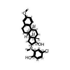 COc1ccc2c(c1)CC[C@@H]1[C@@H]2CC[C@]2(C)[C@@H](O)[C@H](N(C)c3cc(Cl)ccc3O)C[C@@H]12